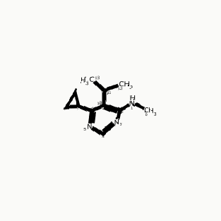 CNc1ncnc(C2CC2)c1C(C)C